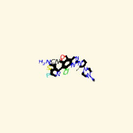 C[C@H]1[C@@H](N2CCN(C)CC2)CCN1c1ncc2c3c(c(-c4ncc(F)c5sc(N)c(C#N)c45)c(Cl)c2n1)COC3